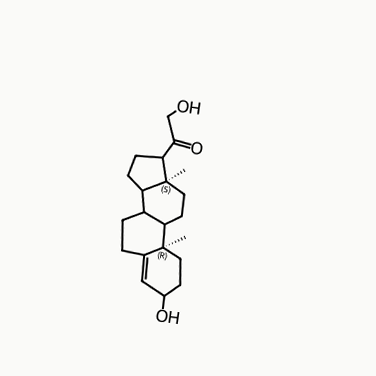 C[C@]12CCC3C(CCC4=CC(O)CC[C@@]43C)C1CCC2C(=O)CO